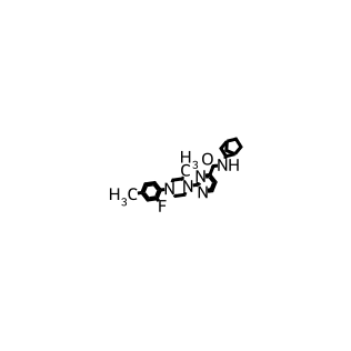 Cc1ccc(N2CCN(c3nccc(C(=O)NC4CC5CCC4C5)n3)[C@H](C)C2)c(F)c1